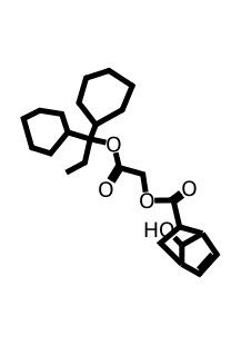 CCC(OC(=O)COC(=O)C1CC2C=CC1C2O)(C1CCCCC1)C1CCCCC1